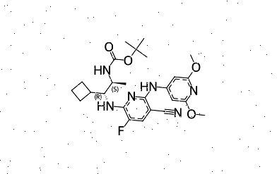 COc1cc(Nc2nc(N[C@H](C3CCC3)[C@H](C)NC(=O)OC(C)(C)C)c(F)cc2C#N)cc(OC)n1